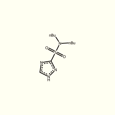 CCCCN(CCCC)S(=O)(=O)c1nc[nH]n1